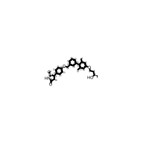 Cc1cc(OCC[C@@H](C)O)cc(C)c1-c1cccc(COc2ccc(C3CC(=O)N[S+]3[O-])cc2)c1